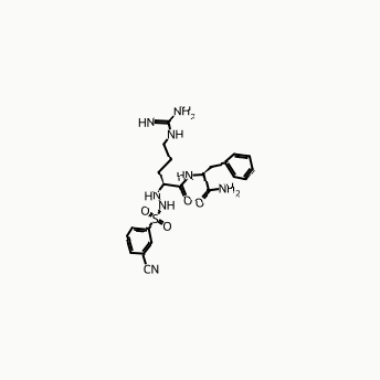 N#Cc1cccc(S(=O)(=O)NN[C@@H](CCCNC(=N)N)C(=O)N[C@@H](Cc2ccccc2)C(N)=O)c1